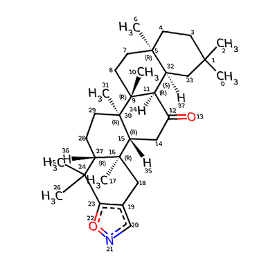 CC1(C)CC[C@]2(C)CC[C@]3(C)[C@H](C(=O)C[C@@H]4[C@@]5(C)Cc6cnoc6C(C)(C)[C@@H]5CC[C@]43C)[C@@H]2C1